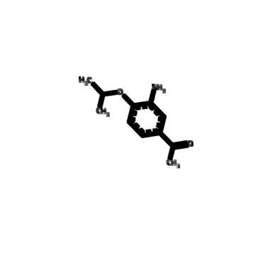 CC(=O)c1ccc(OC(C)C)c(N)c1